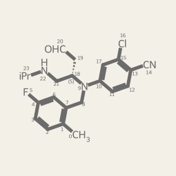 Cc1ccc(F)cc1CN(c1ccc(C#N)c(Cl)c1)[C@@H](CC=O)CNC(C)C